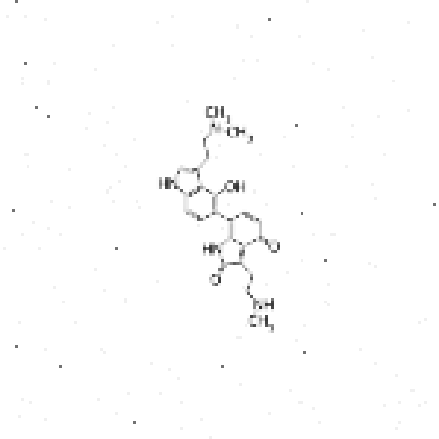 CNCCC1=C2C(=O)C=CC(c3ccc4[nH]cc(CCN(C)C)c4c3O)=C2NC1=O